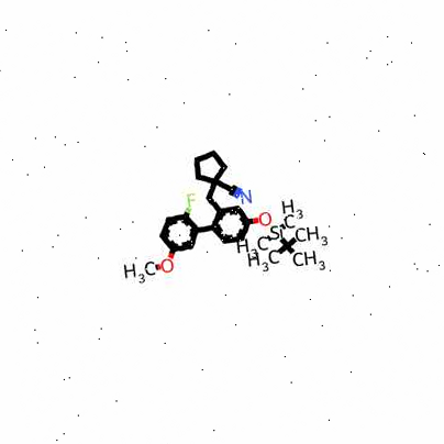 COc1ccc(F)c(-c2ccc(O[Si](C)(C)C(C)(C)C)cc2CC2(C#N)CCCC2)c1